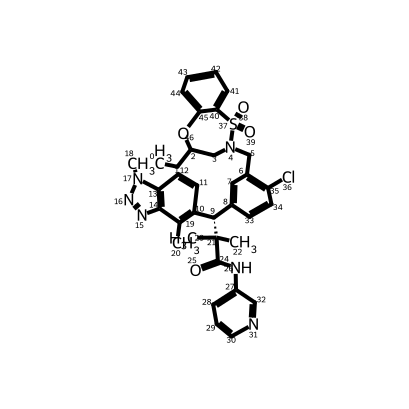 CCC1CN(Cc2cc([C@@H](c3ccc4c(nnn4C)c3C)C(C)(C)C(=O)Nc3cccnc3)ccc2Cl)S(=O)(=O)c2ccccc2O1